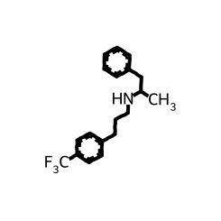 CC(Cc1ccccc1)NCCCc1ccc(C(F)(F)F)cc1